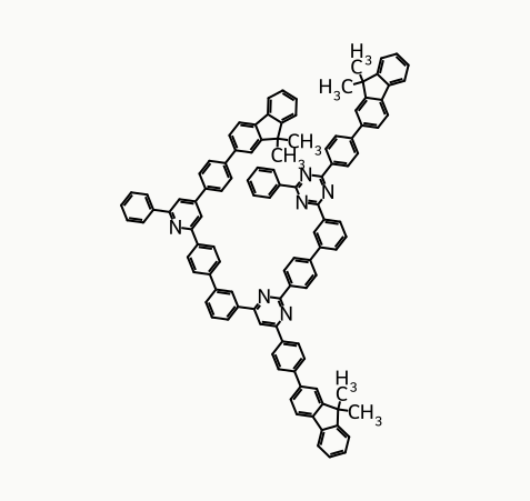 CC1(C)c2ccccc2-c2ccc(-c3ccc(-c4cc(-c5ccccc5)nc(-c5ccc(-c6cccc(-c7cc(-c8ccc(-c9ccc%10c(c9)C(C)(C)c9ccccc9-%10)cc8)nc(-c8ccc(-c9cccc(-c%10nc(-c%11ccccc%11)nc(-c%11ccc(-c%12ccc%13c(c%12)C(C)(C)c%12ccccc%12-%13)cc%11)n%10)c9)cc8)n7)c6)cc5)c4)cc3)cc21